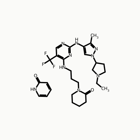 CCN1CCC(n2cc(Nc3ncc(C(F)(F)F)c(NCCCN4CCCCC4=O)n3)c(C)n2)C1.O=c1cccc[nH]1